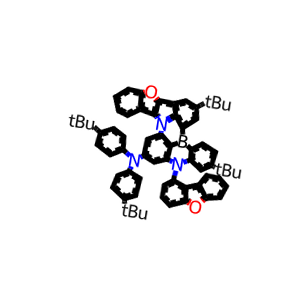 CC(C)(C)c1ccc(N(c2ccc(C(C)(C)C)cc2)c2cc3c4c(c2)-n2c5c(cc(C(C)(C)C)cc5c5oc6ccccc6c52)B4c2ccc(C(C)(C)C)cc2N3c2cccc3oc4ccccc4c23)cc1